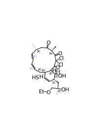 CCOC[C@](C)(O)C[C@H]1C=C[C@H]2[C@H](S)/C=C\C=C\[C@H](C)CC(=O)[C@@H](C)C(=O)C(Cl)(Cl)C(=O)[C@H]2[C@]1(O)CC